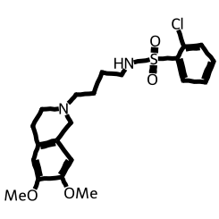 COc1cc2c(cc1OC)CN(CCCCNS(=O)(=O)c1ccccc1Cl)CC2